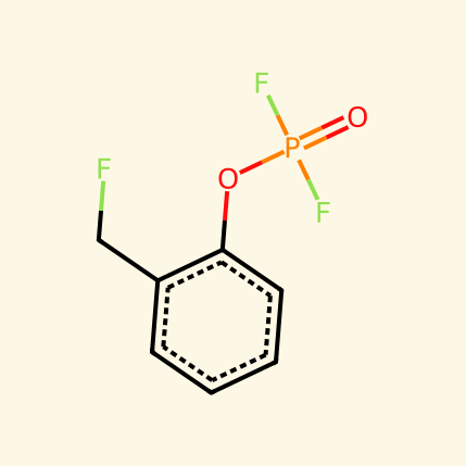 O=P(F)(F)Oc1ccccc1CF